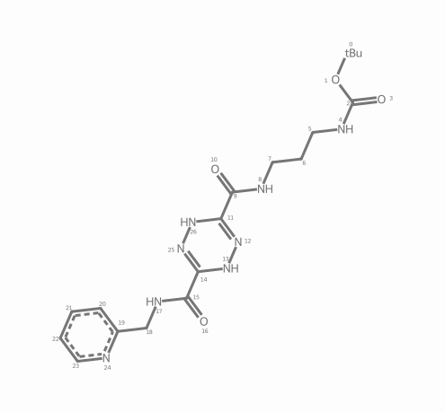 CC(C)(C)OC(=O)NCCCNC(=O)C1=NNC(C(=O)NCc2ccccn2)=NN1